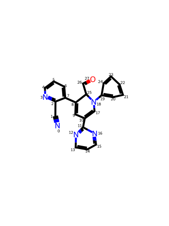 N#Cc1ncccc1C1=CC(c2ncccn2)=CN(c2ccccc2)C1C=O